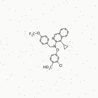 O=C(O)c1ccc(ON(Cc2ccc(OC(F)(F)F)cc2)c2ncc3ccccc3c2C2CC2)cc1Cl